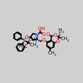 Cc1cc(OC[C@H]2C[C@@H](O[Si](c3ccccc3)(c3ccccc3)C(C)(C)C)CN2C(=O)O)c2c(c1)OC(C)(C)OC2=O